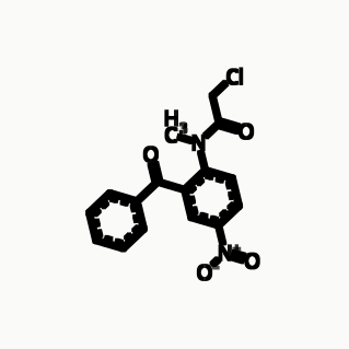 CN(C(=O)CCl)c1ccc([N+](=O)[O-])cc1C(=O)c1ccccc1